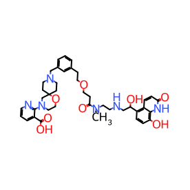 CN(CCNCC(O)c1ccc(O)c2[nH]c(=O)ccc12)C(=O)CCOCCc1cccc(CN2CCC3(CC2)CN(c2ncccc2C(=O)O)CCO3)c1